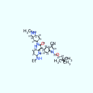 CCNc1ccc2nn(-c3ccc4nn(C)cc4c3)c(=O)c(-c3ccc4c(c3)c(C#N)cn4COCC[Si](C)(C)C)c2n1